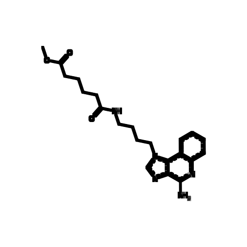 COC(=O)CCCCC(=O)NCCCCn1cnc2c(N)nc3ccccc3c21